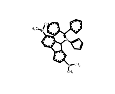 CN(C)c1ccc2c(c1)[CH]([Zr]([C]1=CC=CC1)=[C](c1ccccc1)c1ccccc1)c1cc(N(C)C)ccc1-2